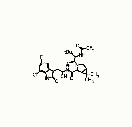 CC(C)(C)C(NC(=O)C(F)(F)F)C(=O)N1CC2C(C1C(=O)NC(C#N)CC1C(=O)Nc3c(Cl)cc(F)cc31)C2(C)C